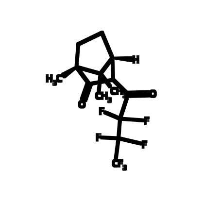 CC1(C)[C@@H]2CC[C@@]1(C)C(=O)C2C(=O)C(F)(F)C(F)(F)C(F)(F)F